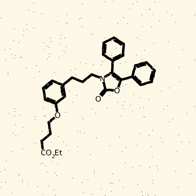 CCOC(=O)CCCOc1cccc(CCCn2c(-c3ccccc3)c(-c3ccccc3)oc2=O)c1